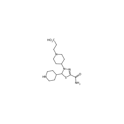 NC(=O)C1=NN(C2CCN(CCC(=O)O)CC2)C(C2CCNCC2)S1